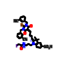 CC1(C)/C(=C\C=C\C=C2C(=O)N(Cc3cccc(C#N)c3)C(=S)N(Cc3cccc(C#N)c3)C2=O)N(CCCNC(=O)CI)c2ccc(S(=O)(=O)O)cc21